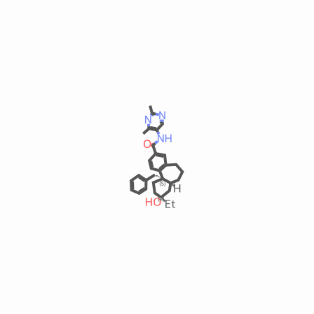 CC[C@@]1(O)CC[C@@]2(Cc3ccccc3)c3ccc(C(=O)Nc4cnc(C)nc4C)cc3CCC[C@H]2C1